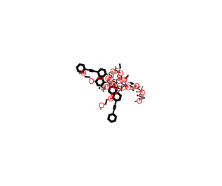 CC[Si@]1(C)O[Si@]2(CC)O[Si]3(c4ccc(OCCOC)cc4)O[Si@](c4ccc(C#Cc5ccccc5)cc4)(O[Si@](CC)(O[Si](C)(C)O[Si](C)(C)O[Si](C)(C)OC)O2)O[Si@@](O[Si](C)(C)C)(c2ccc(OCCOC)cc2)O[Si@@](c2ccc(C#Cc4ccccc4)cc2)(O3)O1